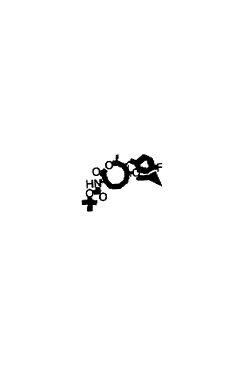 C[C@@H]1OC(=O)[C@@H](NC(=O)OC(C)(C)C)CCC[C@H](OCC2CC2)[C@H]1Cc1ccc(F)cc1